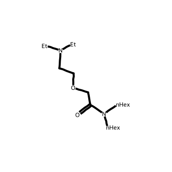 CCCCCCN(CCCCCC)C(=O)COCCN(CC)CC